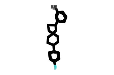 Fc1ccc(C2CCC3(CC2)CCC(c2cccc(C(F)(F)F)c2)C3)cc1